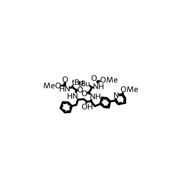 COC(=O)NC(C(=O)NC(Cc1ccccc1)CC(O)C(Cc1ccc(-c2cccc(OC)n2)cc1)NC(=O)C(NC(=O)OC)C(C)(C)C)C(C)(C)C